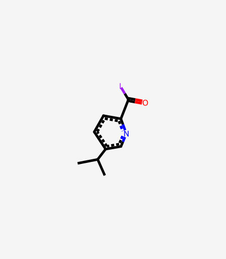 CC(C)c1ccc(C(=O)I)nc1